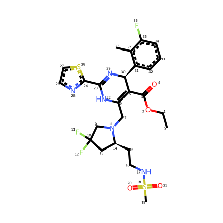 CCOC(=O)C1=C(CN2CC(F)(F)C[C@@H]2CCNS(C)(=O)=O)NC(c2nccs2)=N[C@H]1c1cccc(F)c1C